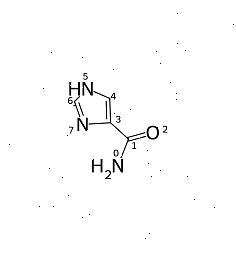 NC(=O)c1c[nH][c]n1